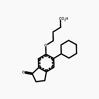 O=C(O)CCCOc1cc2c(cc1C1CCCCC1)CCC2=O